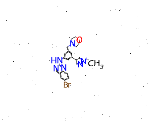 CCn1cc(-c2cc(CN3CCOCC3)cc(Nc3ncc4cc(Br)ccc4n3)c2)cn1